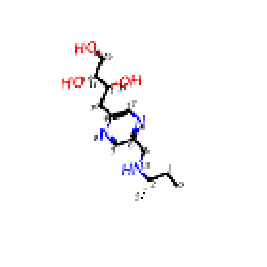 CC[C@H](C)NCc1cnc(C[C@H](O)[C@H](O)CO)cn1